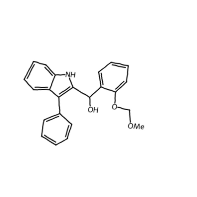 COCOc1ccccc1C(O)c1[nH]c2ccccc2c1-c1ccccc1